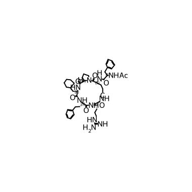 CC(=O)N[C@@H](Cc1ccccc1)C(=O)N[C@H]1CCCNC(=O)[C@H](CCCNC(=N)N)NC(=O)[C@H](CCc2ccccc2)NC(=O)[C@@H](CC2CCCCC2)NC(=O)[C@@H]2CCCN2C1=O